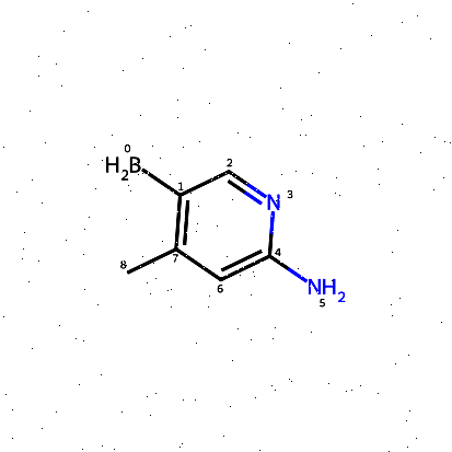 Bc1cnc(N)cc1C